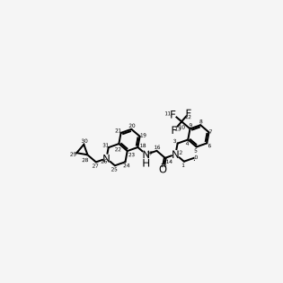 [CH2]CN(Cc1ccccc1C(F)(F)F)C(=O)CNc1cccc2c1CCN(CC1CC1)C2